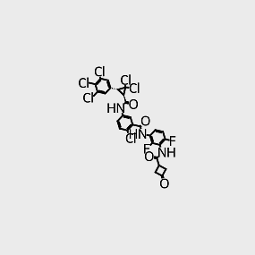 O=C1CC(C(=O)Nc2c(F)ccc(NC(=O)c3cc(NC(=O)[C@H]4[C@H](c5cc(Cl)c(Cl)c(Cl)c5)C4(Cl)Cl)ccc3Cl)c2F)C1